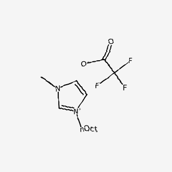 CCCCCCCC[n+]1ccn(C)c1.O=C([O-])C(F)(F)F